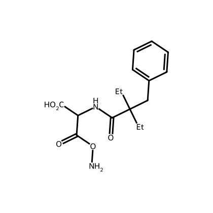 CCC(CC)(Cc1ccccc1)C(=O)NC(C(=O)O)C(=O)ON